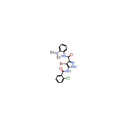 CCN(CC)c1ccccc1NC(=O)c1n[nH]c(NC(=O)c2ccccc2Cl)c1Br